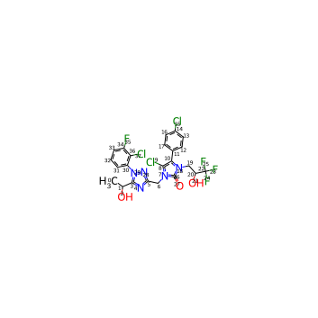 CC(O)c1nc(Cn2c(Cl)c(-c3ccc(Cl)cc3)n(CC(O)C(F)(F)F)c2=O)nn1-c1cccc(F)c1Cl